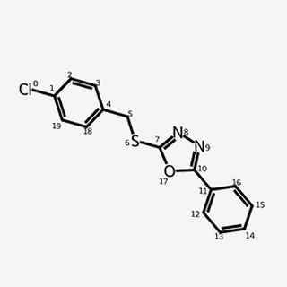 Clc1ccc(CSc2nnc(-c3ccccc3)o2)cc1